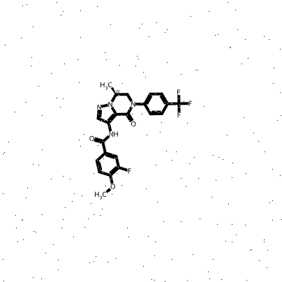 COc1ccc(C(=O)Nc2cnn3c2C(=O)N(c2ccc(C(F)(F)F)cc2)C[C@@H]3C)cc1F